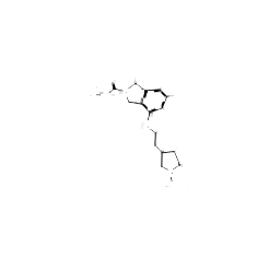 CN1CCC(CCNc2cccc3c2CN(C(=O)OC(C)(C)C)C3)C1